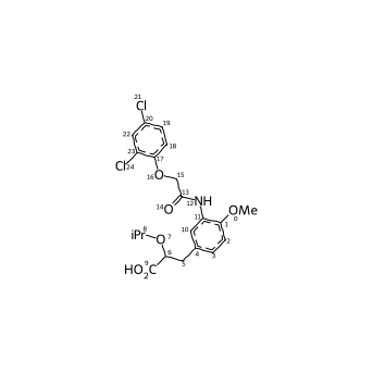 COc1ccc(CC(OC(C)C)C(=O)O)cc1NC(=O)COc1ccc(Cl)cc1Cl